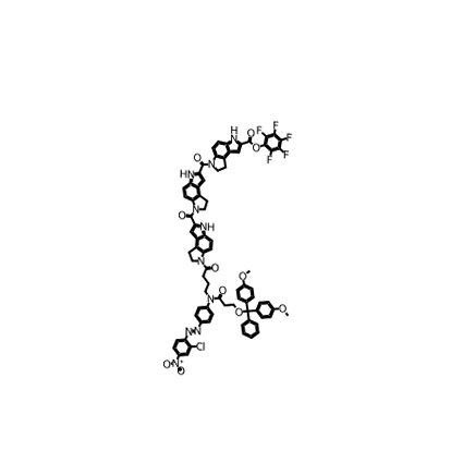 COc1ccc(C(OCCC(=O)N(CCCC(=O)N2CCc3c2ccc2[nH]c(C(=O)N4CCc5c4ccc4[nH]c(C(=O)N6CCc7c6ccc6[nH]c(C(=O)Oc8c(F)c(F)c(F)c(F)c8F)cc76)cc54)cc32)c2ccc(N=Nc3ccc([N+](=O)[O-])cc3Cl)cc2)(c2ccccc2)c2ccc(OC)cc2)cc1